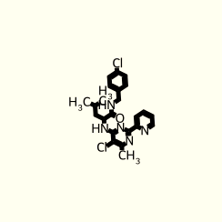 Cc1nc(-c2ccccn2)nc(NC(CC(C)C)C(=O)NCc2ccc(Cl)cc2)c1Cl